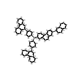 c1ccc2cc(-c3ccc4c(ccc5cc(N(c6ccc(-c7cc8cccnc8c8ccccc78)cc6)c6ccc(-c7cc8cccnc8c8ccccc78)cc6)ccc54)c3)ccc2c1